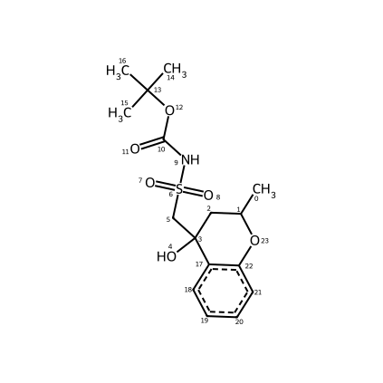 CC1CC(O)(CS(=O)(=O)NC(=O)OC(C)(C)C)c2ccccc2O1